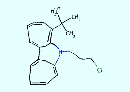 CC(C)(C)c1cccc2c3ccccc3n(CCCCl)c12